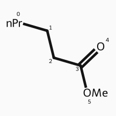 [CH]CCCCC(=O)OC